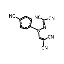 N#CC(C#N)=CN(N=C(C#N)C#N)c1ccc(C#N)cc1